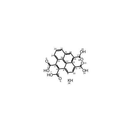 O=C(O)c1c(C(=O)O)c2ccc(C(=O)O)c3c(C(=O)O)cc4cccc1c4c23.[KH]